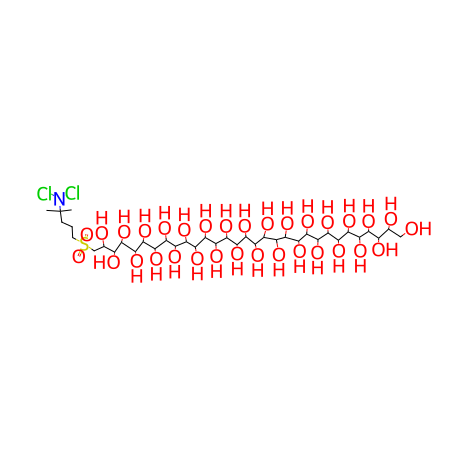 CC(C)(CCCS(=O)(=O)CC(O)C(O)C(O)C(O)C(O)C(O)C(O)C(O)C(O)C(O)C(O)C(O)C(O)C(O)C(O)C(O)C(O)C(O)C(O)C(O)C(O)C(O)C(O)C(O)C(O)C(O)C(O)C(O)C(O)CO)N(Cl)Cl